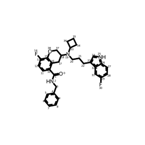 O=C(NCc1ccccc1)c1ccc(F)c2c1CC(N(CCCc1c[nH]c3ccc(F)cc13)C1CCC1)CO2